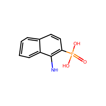 [NH]c1c(P(=O)(O)O)ccc2ccccc12